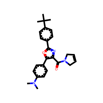 CN(C)c1ccc(-c2oc(-c3ccc(C(C)(C)C)cc3)nc2C(=O)N2CC=CC2)cc1